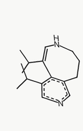 CC(C)/C1=C/NCCCc2cncc(C(C)C)c21